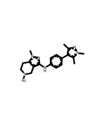 CC(=O)N1CCc2c(c(Nc3ccc(-c4c(C)nn(C)c4C)cc3)nn2C)C1